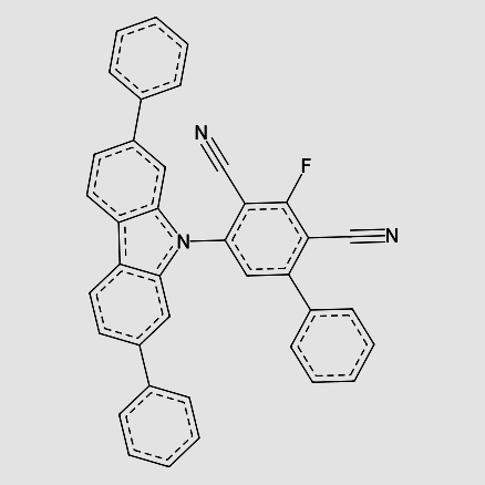 N#Cc1c(-c2ccccc2)cc(-n2c3cc(-c4ccccc4)ccc3c3ccc(-c4ccccc4)cc32)c(C#N)c1F